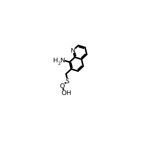 Nc1c(CSOO)ccc2cccnc12